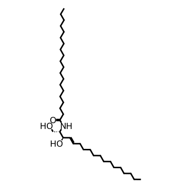 CCCCCCCCCCCCC/C=C/[C@@H](O)[C@H](CO)NC(=O)CCCCCCCCCCCCCCCCCCC